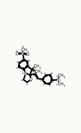 CN(C)c1ccc(C=CC23OCCN2c2ccc(S(C)(=O)=O)cc2C3(C)C)cc1